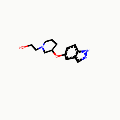 OCCN1CCCC(Oc2ccc3[nH]ncc3c2)C1